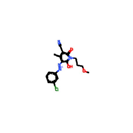 COCCCn1c(O)c(/N=N/c2cccc(Cl)c2)c(C)c(C#N)c1=O